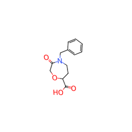 O=C(O)C1CCN(Cc2ccccc2)C(=O)CO1